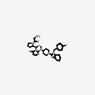 CN(c1nccc(=O)n1C(=O)C1CCCN1C(=O)CN)C1CCN(c2nc3ccccc3n2Cc2ccc(F)cc2)CC1